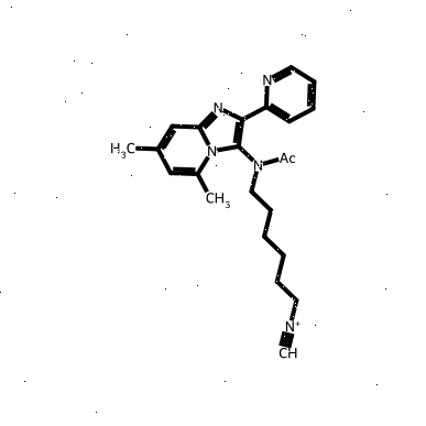 C#[N+]CCCCCCN(C(C)=O)c1c(-c2ccccn2)nc2cc(C)cc(C)n12